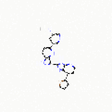 CN(C)c1cncc(-c2ccc3[nH]nc(-c4nc5c(-c6cccs6)ccnc5[nH]4)c3n2)c1